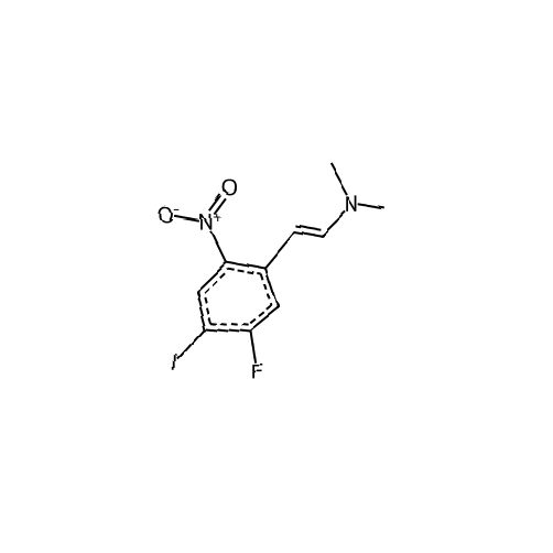 CN(C)/C=C/c1cc(F)c(I)cc1[N+](=O)[O-]